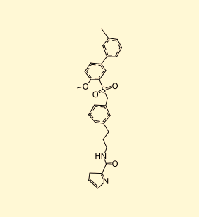 COc1ccc(-c2cccc(C)c2)cc1S(=O)(=O)Cc1cccc(CCCNC(=O)C2=NC=CC2)c1